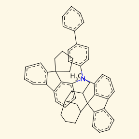 CCC1CC2CCCC(C2)C12c1ccccc1-c1cccc(N(c3ccc(-c4ccccc4)cc3)c3cccc4c3C3(CCCC3)c3ccccc3-4)c12